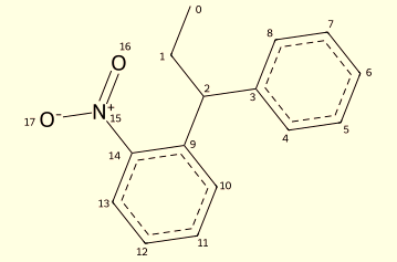 CCC(c1ccccc1)c1ccccc1[N+](=O)[O-]